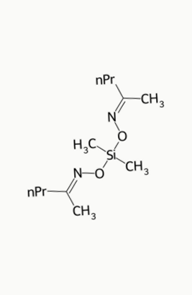 CCCC(C)=NO[Si](C)(C)ON=C(C)CCC